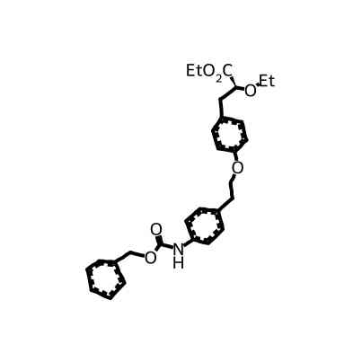 CCOC(=O)[C@H](Cc1ccc(OCCc2ccc(NC(=O)OCc3ccccc3)cc2)cc1)OCC